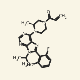 C=CC(=O)N1CCN(c2ncnc3c2nc(-c2c(O)cccc2F)n3C(C)C)[C@@H](C)C1